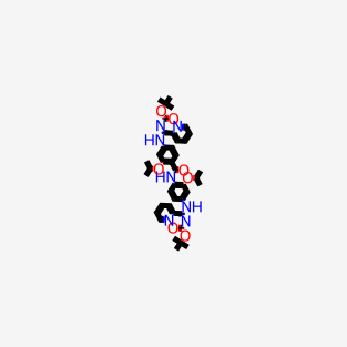 CC(C)Oc1cc(N/C(=N/C(=O)OC(C)(C)C)c2ccccn2)ccc1NC(=O)c1ccc(N/C(=N/C(=O)OC(C)(C)C)c2ccccn2)cc1OC(C)C